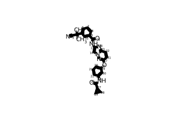 CC(C)(C#N)c1cccc(C(=O)Nc2cn3nc(Oc4cccc(NC(=O)C5CC5)c4)ccc3n2)c1